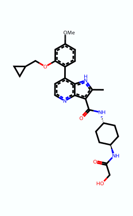 COc1ccc(-c2ccnc3c(C(=O)N[C@H]4CC[C@H](NC(=O)CO)CC4)c(C)[nH]c23)c(OCC2CC2)c1